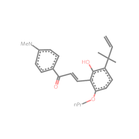 C=CC(C)(C)c1ccc(OCCC)c(C=CC(=O)c2ccc(NC)cc2)c1O